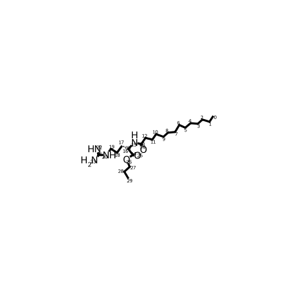 CCCCCCCCCCCCCC(=O)N[C@@H](CCCNC(=N)N)C(=O)OCCC